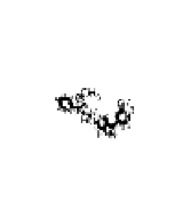 COCC(NC(=O)Nc1cc2[nH]nc(-c3ccnc(C)c3)c2cn1)c1ccccn1